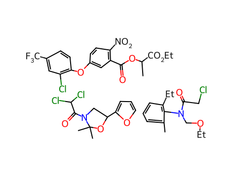 CC1(C)OC(c2ccco2)CN1C(=O)C(Cl)Cl.CCOC(=O)C(C)OC(=O)c1cc(Oc2ccc(C(F)(F)F)cc2Cl)ccc1[N+](=O)[O-].CCOCN(C(=O)CCl)c1c(C)cccc1CC